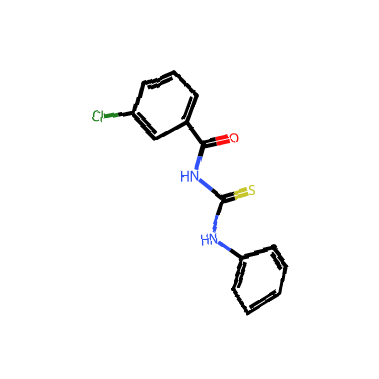 O=C(NC(=S)Nc1ccccc1)c1cccc(Cl)c1